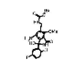 COc1c(CNC(=O)OC(C)(C)C)cc(N)c2c1C(=O)NC2(O)C1=CC(F)=CCC1Cl